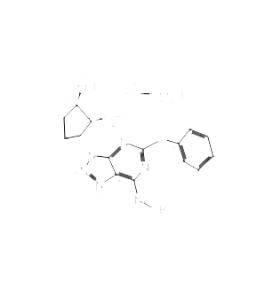 CCCCNc1nc(Sc2ccccc2)nc2c1nnn2[C@@H]1CC[C@@H](O)[C@H]1O.O=C(O)O